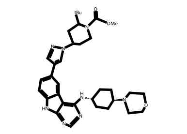 COC(=O)N1CCC(n2cc(-c3ccc4[nH]c5ncnc(N[C@H]6CC[C@H](N7CCOCC7)CC6)c5c4c3)cn2)CC1C(C)(C)C